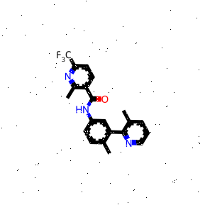 Cc1ccc(NC(=O)c2ccc(C(F)(F)F)nc2C)cc1-c1ncccc1C